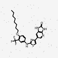 CCCCCCCCOc1ccc(Nc2nc(-c3cnc4[nH]c(=O)[nH]c4c3)cs2)cc1C(F)(F)F